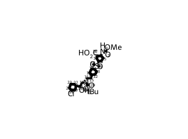 COC(=O)Nc1ccc(S(=O)(=O)c2ccc(CCN(C[C@@H](O)c3cccc(Cl)c3)C(=O)OC(C)(C)C)cc2)cc1C(=O)O